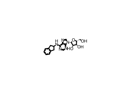 OC[C@H]1O[C@@H](n2cnc3c(NC4Cc5ccccc5C4)ncnc32)[C@H](O)[C@@H]1O